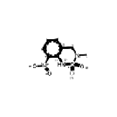 CN1Cc2cccc([N+](=O)[O-])c2NS1(=O)=O